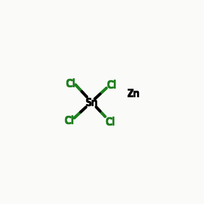 [Cl][Sn]([Cl])([Cl])[Cl].[Zn]